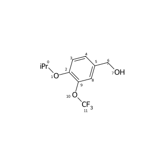 CC(C)Oc1ccc([CH]O)cc1OC(F)(F)F